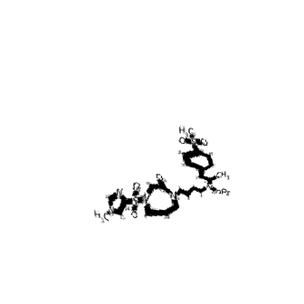 CCCN(CCCCN1CCCN(S(=O)(=O)c2cn(C)cn2)CC1=O)C(C)Cc1ccc(S(C)(=O)=O)cc1